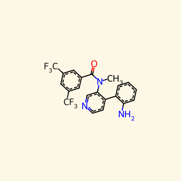 CN(C(=O)c1cc(C(F)(F)F)cc(C(F)(F)F)c1)c1cnccc1-c1ccccc1N